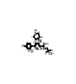 CC(C)(O)CNC(=N)c1nnc(-c2ccc(F)cc2O)cc1NC1CCNCC1